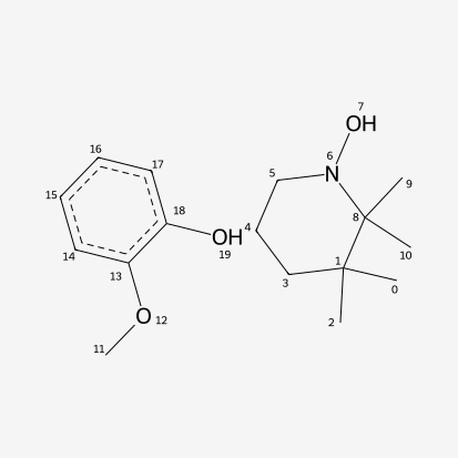 CC1(C)CCCN(O)C1(C)C.COc1ccccc1O